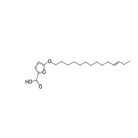 CC/C=C/CCCCCCCCCCOc1ccc(C(=O)O)o1